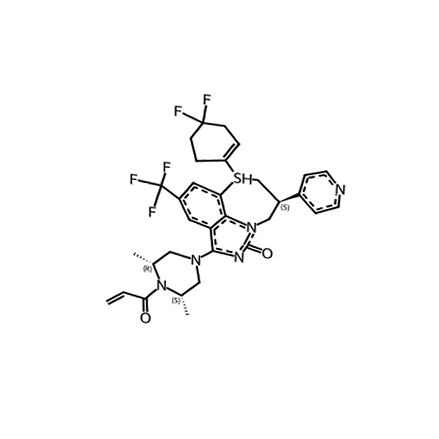 C=CC(=O)N1[C@H](C)CN(c2nc(=O)n3c4c(cc(C(F)(F)F)cc24)[SH](C2=CCC(F)(F)CC2)C[C@@H](c2ccncc2)C3)C[C@@H]1C